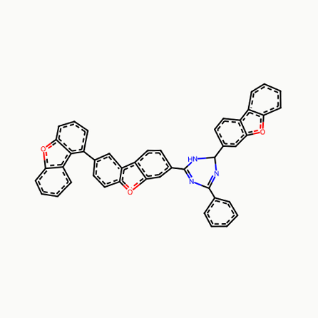 c1ccc(C2=NC(c3ccc4c(c3)oc3ccccc34)NC(c3ccc4c(c3)oc3ccc(-c5cccc6oc7ccccc7c56)cc34)=N2)cc1